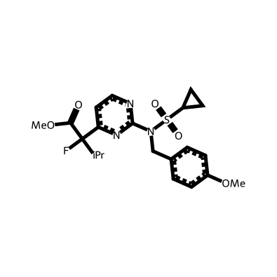 COC(=O)C(F)(c1ccnc(N(Cc2ccc(OC)cc2)S(=O)(=O)C2CC2)n1)C(C)C